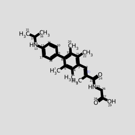 C/C(=C\c1c(C)c(C)c(-c2ccc(NC(C)C)cc2)c(C)c1C)C(=O)NCC(=O)O